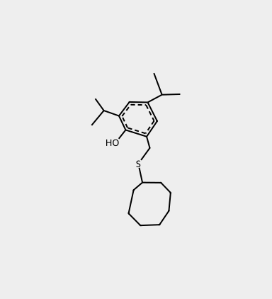 CC(C)c1cc(CSC2CCCCCCC2)c(O)c(C(C)C)c1